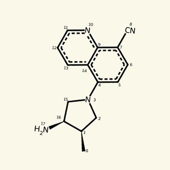 C[C@@H]1CN(c2ccc(C#N)c3ncccc23)C[C@@H]1N